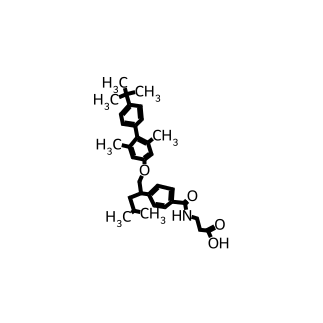 Cc1cc(OCC(CC(C)C)c2ccc(C(=O)NCCC(=O)O)cc2)cc(C)c1-c1ccc(C(C)(C)C)cc1